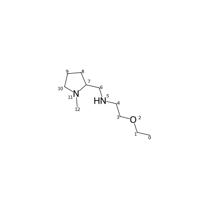 CCOCCNCC1CCCN1C